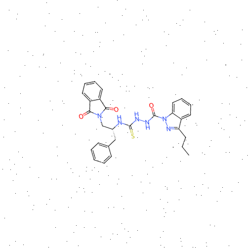 CCCc1nn(C(=O)NNC(=S)N[C@H](Cc2ccccc2)CN2C(=O)c3ccccc3C2=O)c2cc[c]cc12